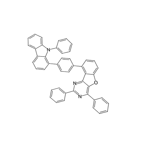 c1ccc(-c2nc(-c3ccccc3)c3oc4cccc(-c5ccc(-c6cccc7c8ccccc8n(-c8ccccc8)c67)cc5)c4c3n2)cc1